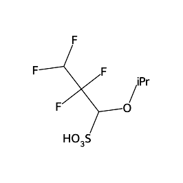 CC(C)OC(C(F)(F)C(F)F)S(=O)(=O)O